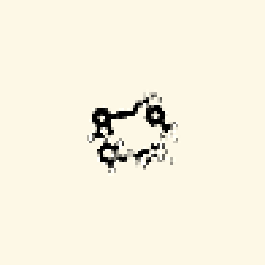 CN(CCC#Cc1cccc2c1CN(C1CCC(=O)N(COCC[Si](C)(C)C)C1=O)C2=O)c1ccc(C(N)=O)cc1